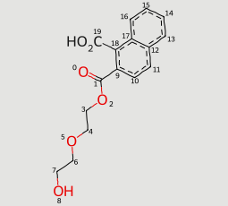 O=C(OCCOCCO)c1ccc2ccccc2c1C(=O)O